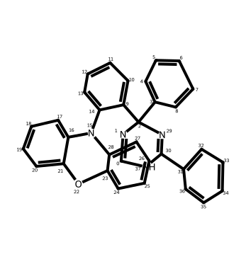 C1=NC(c2ccccc2)(c2ccccc2N2c3ccccc3Oc3ccccc32)N=C(c2ccccc2)N1